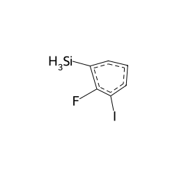 Fc1c([SiH3])cccc1I